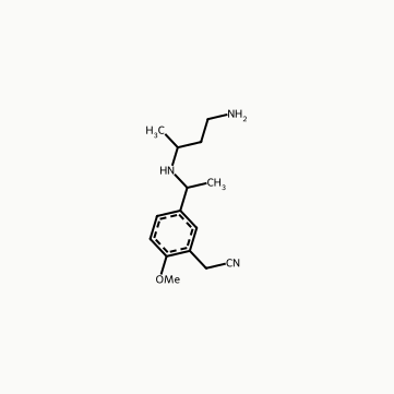 COc1ccc(C(C)NC(C)CCN)cc1CC#N